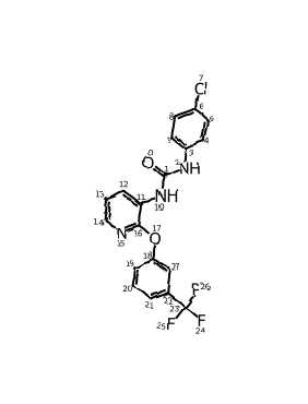 O=C(Nc1ccc(Cl)cc1)Nc1cccnc1Oc1cccc(C(F)(F)F)c1